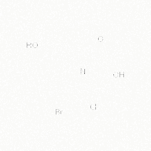 O=CO.Oc1cnc(Cl)c(Br)c1